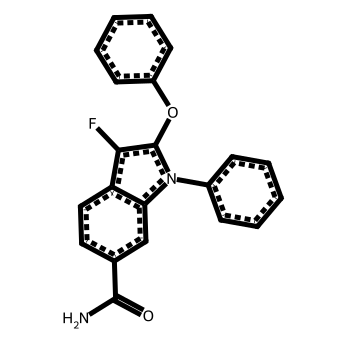 NC(=O)c1ccc2c(F)c(Oc3ccccc3)n(-c3ccccc3)c2c1